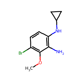 COc1c(Br)ccc(NC2CC2)c1N